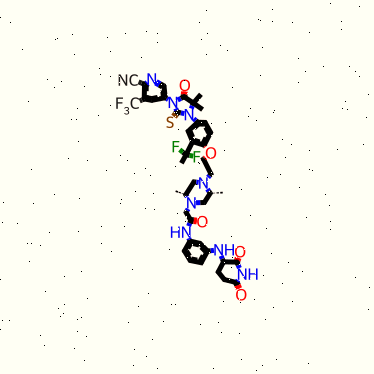 C[C@@H]1CN(CC(=O)Nc2cccc(NC3CCC(=O)NC3=O)c2)[C@H](C)CN1CCOc1ccc(N2C(=S)N(c3cnc(C#N)c(C(F)(F)F)c3)C(=O)C2(C)C)cc1C(C)(F)F